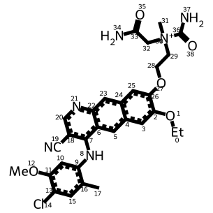 CCOc1cc2cc3c(Nc4cc(OC)c(Cl)cc4C)c(C#N)cnc3cc2cc1OCC[N+](C)(CC(N)=O)C(N)=O